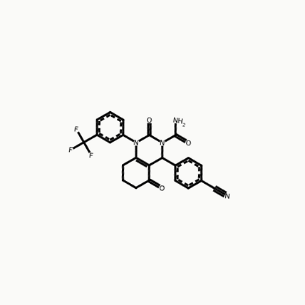 N#Cc1ccc(C2C3=C(CCCC3=O)N(c3cccc(C(F)(F)F)c3)C(=O)N2C(N)=O)cc1